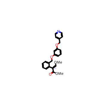 CO/C=C(/C(=O)OC)c1ccccc1COc1cccc(OCc2ccncc2)c1